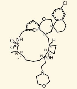 C[C@@H]1[C@@H](C)CCC[C@@](O)(CCN2CCOCC2)[C@@H]2CC[C@H]2CN2C[C@@]3(CCCc4cc(Cl)ccc43)COc3ccc(cc32)CNS1(=O)=O